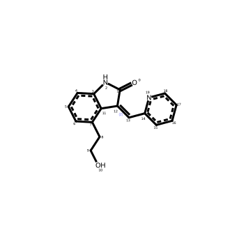 O=C1Nc2cccc(CCO)c2/C1=C/c1ccccn1